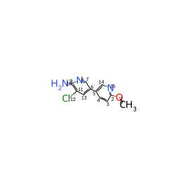 COc1ccc(-c2cnc(N)c(Cl)c2)cn1